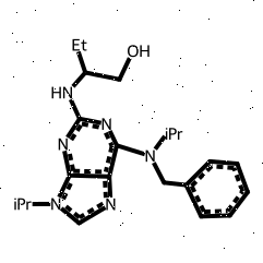 CCC(CO)Nc1nc(N(Cc2ccccc2)C(C)C)c2ncn(C(C)C)c2n1